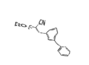 CCOC(=O)C(C#N)=Cc1cccc(-c2ccccc2)c1